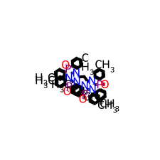 Cc1ccc(P(=O)(c2ccc(C)cc2)c2nc(Cc3nc(P(=O)(c4ccc(C)cc4)c4ccc(C)cc4)nc(P(=O)(c4ccc(C)cc4)c4ccc(C)cc4)n3)nc(P(=O)(c3ccc(C)cc3)c3ccc(C)cc3)n2)cc1